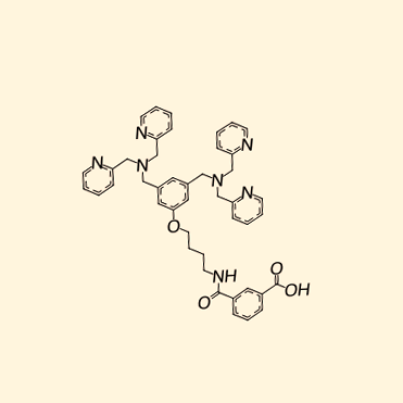 O=C(O)c1cccc(C(=O)NCCCCOc2cc(CN(Cc3ccccn3)Cc3ccccn3)cc(CN(Cc3ccccn3)Cc3ccccn3)c2)c1